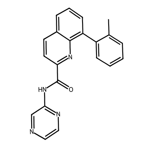 Cc1ccccc1-c1cccc2ccc(C(=O)Nc3cnccn3)nc12